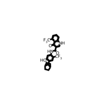 O=C(Nc1ccc(C2C3CCC2[C@@H](O)C3)cc1C(F)(F)F)c1c[nH]c2cccc(C(F)(F)F)c2c1=O